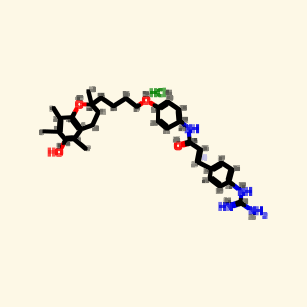 Cc1c(C)c2c(c(C)c1O)CCC(C)(CCCCOc1ccc(NC(=O)/C=C/c3ccc(NC(=N)N)cc3)cc1)O2.Cl